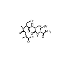 CCC(=O)N(C)CC(=O)N(C)[C@@H](CC(C)C)C(=O)N[C@H](C(=O)N(C)[C@@H](CC(C)C)C(N)=O)C(C)C